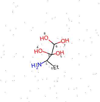 CCC(N)C(O)(O)C(O)O